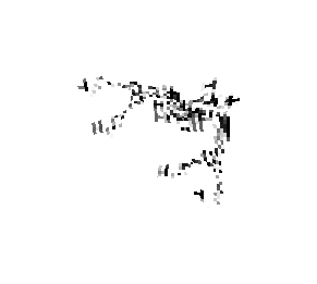 CCCCCCOCC(COCCCCCC)OCc1cn(CC2O[C@H](O[C@H]3OC(Cn4cc(COC(COCCCCCC)COCCCCCC)nn4)[C@@H](O)C(O)C3O)C(O)C(O)[C@@H]2O)nn1